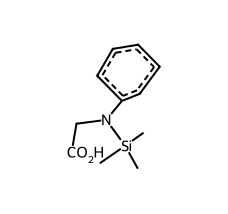 C[Si](C)(C)N(CC(=O)O)c1ccccc1